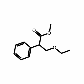 CCOCC(C(=O)OC)c1ccccc1